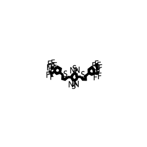 FC(F)(F)c1cc(-c2ccc(-c3c4c(c(-c5ccc(-c6ccc(S(F)(F)(F)(F)F)c(C(F)(F)F)c6)s5)c5nsnc35)N=S=N4)s2)ccc1S(F)(F)(F)(F)F